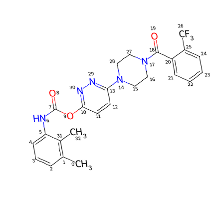 Cc1cccc(NC(=O)Oc2ccc(N3CCN(C(=O)c4ccccc4C(F)(F)F)CC3)nn2)c1C